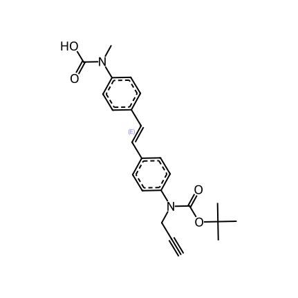 C#CCN(C(=O)OC(C)(C)C)c1ccc(/C=C/c2ccc(N(C)C(=O)O)cc2)cc1